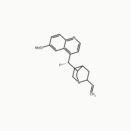 C=CC1CC2CCN1CC2[C@H](F)c1ccnc2ccc(OC)cc12